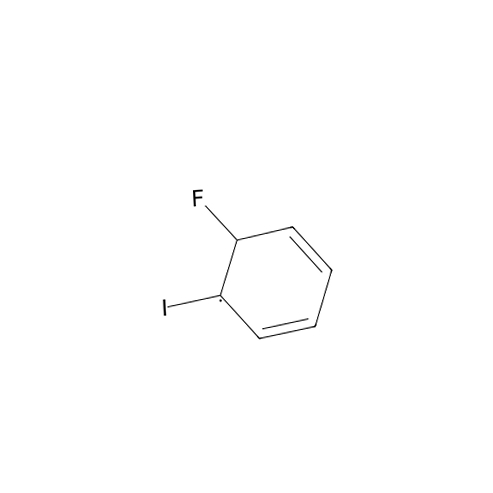 FC1C=CC=C[C]1I